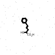 O=C(O)C(S)C/C=C/c1ccccc1